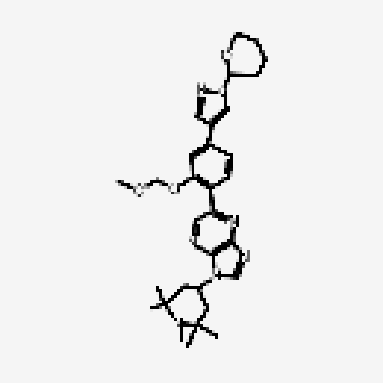 COCOc1cc(-c2cnn(C3CCCCO3)c2)ccc1-c1cnc2c(ncn2C2CC(C)(C)NC(C)(C)C2)n1